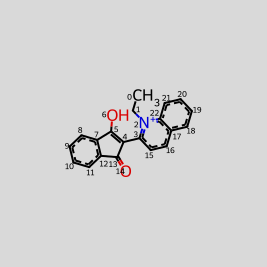 CC[n+]1c(C2=C(O)c3ccccc3C2=O)ccc2ccccc21